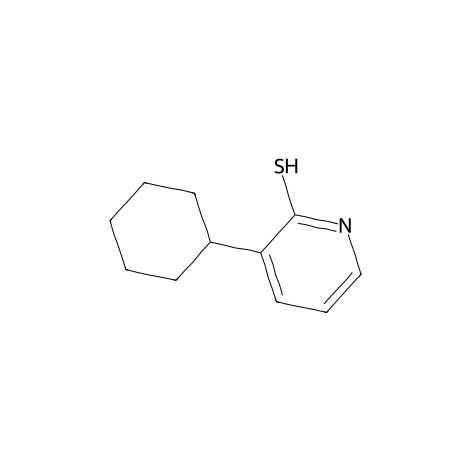 Sc1ncccc1C1CCCCC1